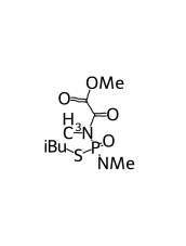 CCC(C)SP(=O)(NC)N(C)C(=O)C(=O)OC